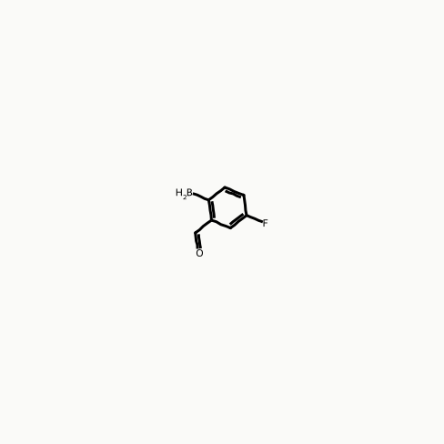 Bc1ccc(F)cc1C=O